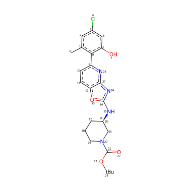 Cc1cc(Cl)cc(O)c1-c1ccc2oc(N[C@@H]3CCCN(C(=O)OC(C)(C)C)C3)nc2n1